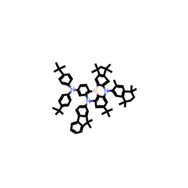 Cc1cc2c(cc1N1c3cc4c(cc3B3c5ccc(N(c6ccc(C(C)(C)C)cc6)c6ccc(C(C)(C)C)cc6)cc5N(c5ccc6c(c5)C(C)(C)c5ccccc5-6)c5cc(C(C)(C)C)cc1c53)C(C)(C)CC4(C)C)C(C)(C)CCC2(C)C